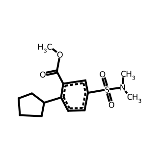 COC(=O)c1cc(S(=O)(=O)N(C)C)ccc1C1CCCC1